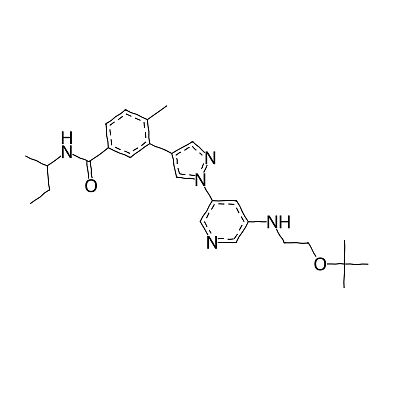 CCC(C)NC(=O)c1ccc(C)c(-c2cnn(-c3cncc(NCCOC(C)(C)C)c3)c2)c1